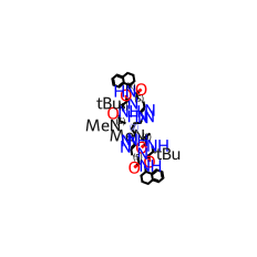 CN[C@@H](C)C(=O)NC(C(=O)N[C@@H](Cc1cn(C/C=C\Cn2cc(C[C@H](NC(=O)[C@@H](NC(=O)[C@H](C)NC)C(C)(C)C)C(=O)N[C@@H]3CCCc4ccccc43)nn2)nn1)C(=O)NC1CCCc2ccccc21)C(C)(C)C